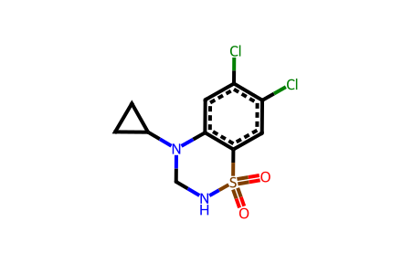 O=S1(=O)NCN(C2CC2)c2cc(Cl)c(Cl)cc21